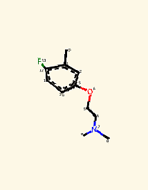 Cc1cc(OCCN(C)C)ccc1F